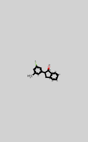 Cc1cc(F)cc(C2Cc3ccccc3C2=O)c1